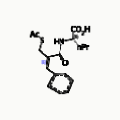 CCC[C@H](NC(=O)/C(=C\c1ccccc1)CSC(C)=O)C(=O)O